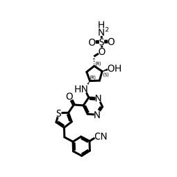 N#Cc1cccc(Cc2csc(C(=O)c3cncnc3N[C@@H]3C[C@H](COS(N)(=O)=O)[C@@H](O)C3)c2)c1